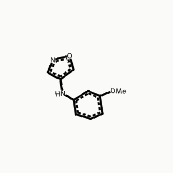 COc1cccc(Nc2cnoc2)c1